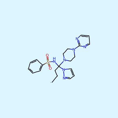 [CH2]CCC(NS(=O)(=O)c1ccccc1)(N1CCN(c2ncccn2)CC1)n1cccn1